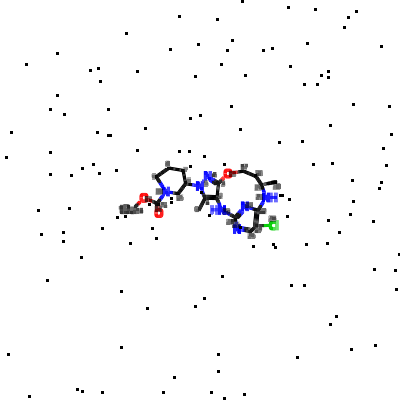 Cc1c2c(nn1C1CCCN(C(=O)OC(C)(C)C)C1)OCC[C@@H](C)Nc1nc(ncc1Cl)N2